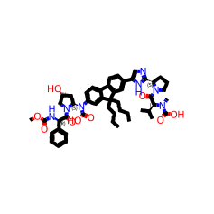 CCCCC1(CCCC)c2cc(-c3cnc([C@@H]4CCCN4C(=O)[C@H](C(C)C)N(C)C(=O)O)[nH]3)ccc2-c2ccc(N(C(=O)O)[C@H]3C[C@@H](O)CN3C(=O)[C@H](NC(=O)OC)c3ccccc3)cc21